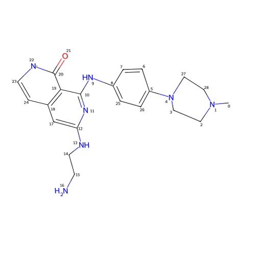 CN1CCN(c2ccc(Nc3nc(NCCN)cc4c3C(=O)[N]C=C4)cc2)CC1